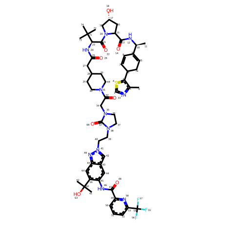 Cc1ncsc1C1C=CC([C@H](C)NC(=O)C2C[C@@H](O)CN2C(=O)[C@@H](NC(=O)CC2CCN(C(=O)CN3CCN(CCn4cc5cc(NC(=O)c6cccc(C(F)(F)F)n6)c(C(C)(C)O)cc5n4)C3=O)CC2)C(C)(C)C)=CC1